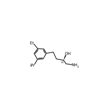 CCc1cc(CC[C@@H](O)CN)cc(C(C)C)c1